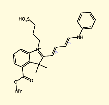 CCCOC(=O)c1cccc2c1C(C)(C)C(/C=C/C=C/Nc1ccccc1)=[N+]2CCCS(=O)(=O)O